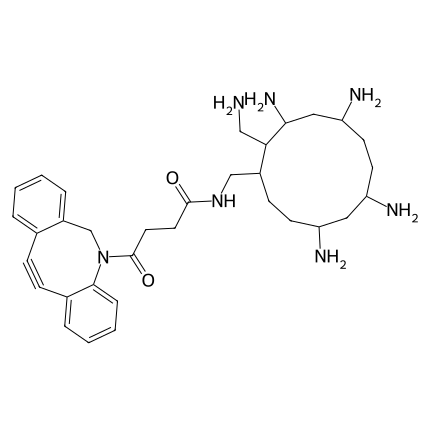 NCC1C(N)CC(N)CCC(N)CC(N)CCC1CNC(=O)CCC(=O)N1Cc2ccccc2C#Cc2ccccc21